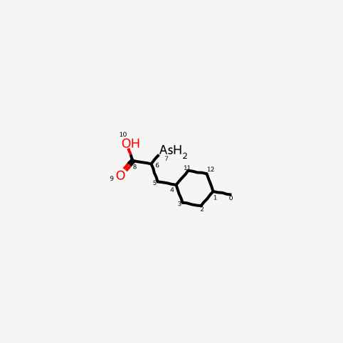 CC1CCC(CC([AsH2])C(=O)O)CC1